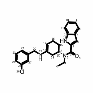 CCN(C(=O)c1cc2ccccc2[nH]1)[C@H]1CCC=C(NCc2cccc(Cl)c2)C1